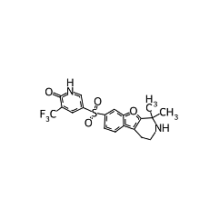 CC1(C)NCCc2c1oc1cc(S(=O)(=O)c3c[nH]c(=O)c(C(F)(F)F)c3)ccc21